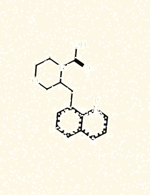 O=C(O)N1CCOCC1Cc1cccc2cccnc12